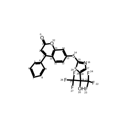 O=c1cc(-c2ccccc2)c2ccc(Sc3ncc(C(O)(C(F)(F)F)C(F)(F)F)s3)cc2o1